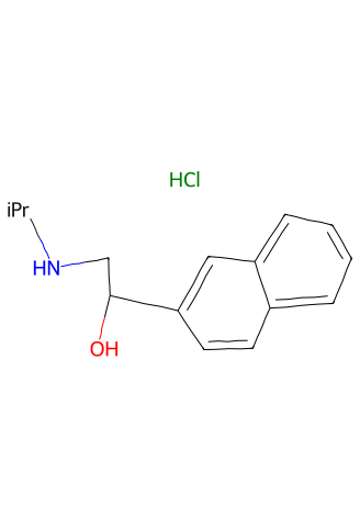 CC(C)NCC(O)c1ccc2ccccc2c1.Cl